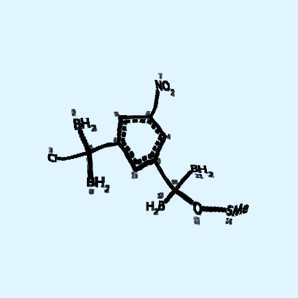 BC(B)(Cl)c1cc([N+](=O)[O-])cc(C(B)(B)OSC)c1